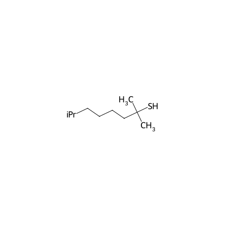 CC(C)CCCCC(C)(C)S